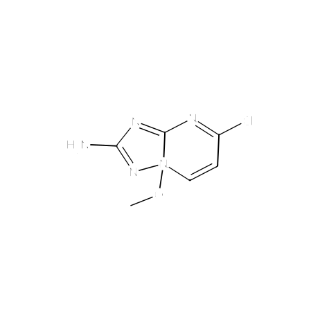 CO[N+]12C=CC(Cl)=NC1=NC(N)=N2